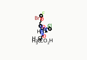 CC(C)(CCC(=O)N1C[C@H]2CC(c3ccc(CCCOc4cc(F)ccc4Br)cc3)=C(C(=O)N(Cc3ccccc3Cl)C3CC3)[C@@H](C1)N2)C(=O)O